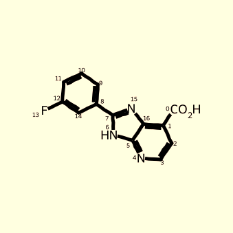 O=C(O)c1ccnc2[nH]c(-c3cccc(F)c3)nc12